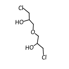 OC(CCl)COCC(O)CCl